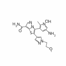 COCCn1cc(-c2sc3c(C(N)=O)cnn3c2-c2cc(N)cnc2C)cn1.Cl